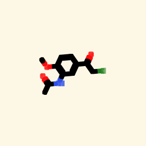 COc1ccc(C(=O)CCl)cc1NC(C)=O